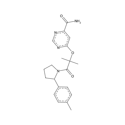 Cc1ccc(C2CCCN2C(=O)C(C)(C)Oc2cc(C(N)=O)ncn2)cc1